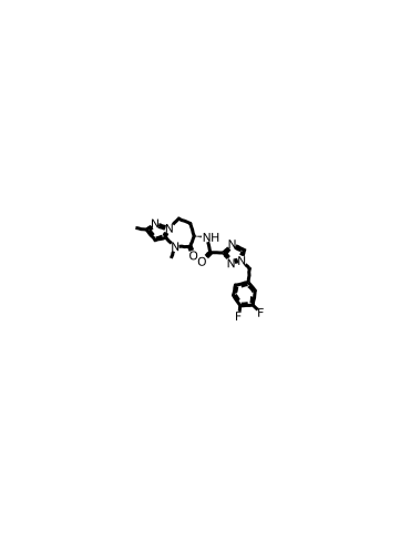 Cc1cc2n(n1)CC[C@H](NC(=O)c1ncn(Cc3ccc(F)c(F)c3)n1)C(=O)N2C